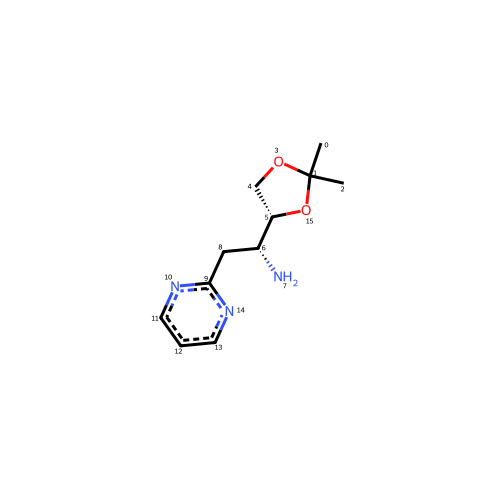 CC1(C)OC[C@@H]([C@H](N)Cc2ncccn2)O1